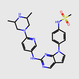 CC1CN(c2ccc(Nc3ncc4ccn(-c5ccc(NS(C)(=O)=O)cc5)c4n3)cn2)CC(C)N1